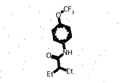 CCC(CC)C(=O)Nc1ccc(OC(F)(F)F)cc1